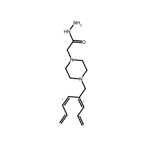 C=C/C=C\C(=C/C=C)CN1CCN(CC(=O)NN)CC1